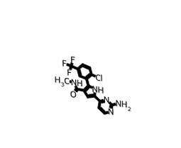 CNC(=O)c1cc(-c2ccnc(N)n2)[nH]c1-c1cc(C(F)(F)F)ccc1Cl